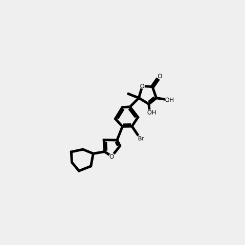 CC1(c2ccc(-c3coc(C4CCCCC4)c3)c(Br)c2)OC(=O)C(O)=C1O